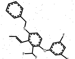 CC=Cc1c(SCc2ccccc2)ccc(Oc2cc(F)cc(F)c2)c1C(F)F